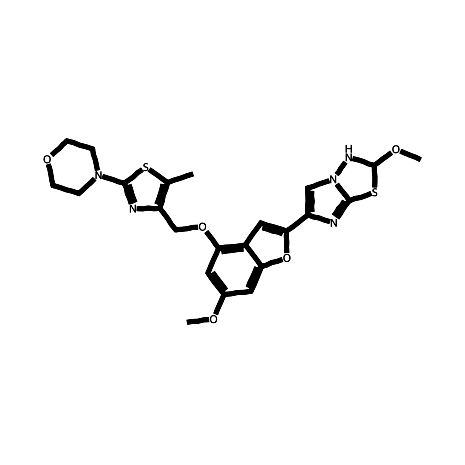 COc1cc(OCc2nc(N3CCOCC3)sc2C)c2cc(-c3cn4c(n3)SC(OC)N4)oc2c1